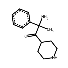 CC(N)(C(=O)C1CCNCC1)c1cc[c]cc1